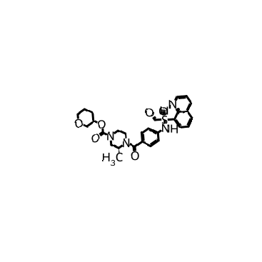 C[C@@H]1CN(C(=O)OC2CCCOC2)CCN1C(=O)c1ccc(N[SH](=O)(C=O)c2cccc3cccnc23)cc1